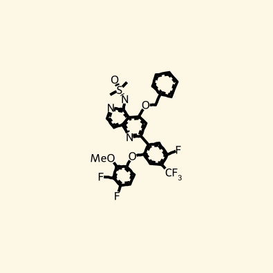 COc1c(Oc2cc(C(F)(F)F)c(F)cc2-c2cc(OCc3ccccc3)c3c(N=S(C)(C)=O)nccc3n2)ccc(F)c1F